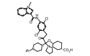 CC(C)N1CCN(C(O[C@H]2CC[C@H](C(=O)O)CC2)(C(=O)Cc2cc(Cl)c(NC(=O)c3cn(C)c4ccccc34)cc2Cl)N2CCCC2)CC1